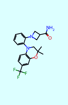 CC1(C)CN(c2ccccc2N2CC(C(N)=O)C2)c2ccc(C(F)(F)F)cc2O1